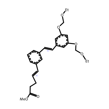 CCOCOc1cc(/C=C/c2cccc(/C=C/CCC(=O)OC)c2)cc(OCOCC)c1